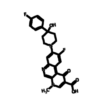 Cn1cc(C(=O)O)c(=O)c2c3cc(F)c(N4CCC(O)(c5ccc(F)cc5)CC4)cc3ncc21